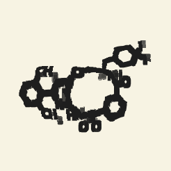 Cc1cccc(C)c1-c1cc2nc(n1)NS(=O)(=O)c1cccc(c1)C(=O)N[C@H](CC1CCC(F)(F)CC1)CO2